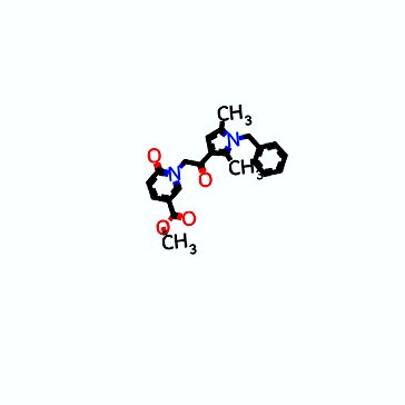 COC(=O)c1ccc(=O)n(CC(=O)c2cc(C)n(Cc3ccccc3)c2C)c1